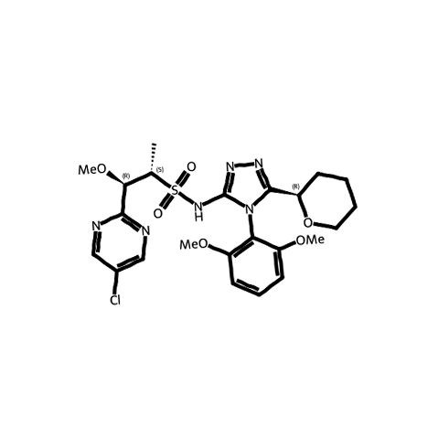 COc1cccc(OC)c1-n1c(NS(=O)(=O)[C@@H](C)[C@H](OC)c2ncc(Cl)cn2)nnc1[C@H]1CCCCO1